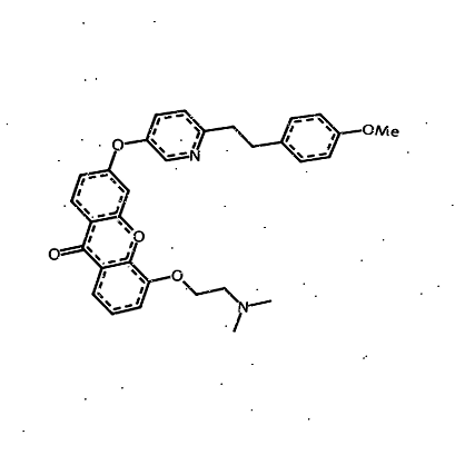 COc1ccc(CCc2ccc(Oc3ccc4c(=O)c5cccc(OCCN(C)C)c5oc4c3)cn2)cc1